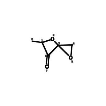 CC1OC2(CO2)C1=O